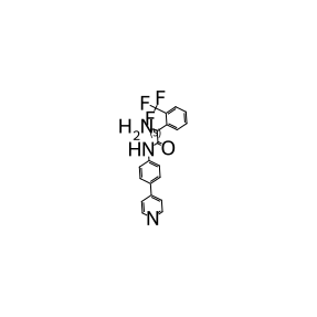 N[C@H](C(=O)Nc1ccc(-c2ccncc2)cc1)c1ccccc1C(F)(F)F